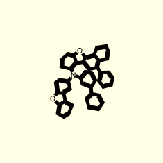 c1ccc(-c2cccc(N(c3ccc4oc5ccccc5c4c3)c3cccc4oc5c6ccccc6c(-c6ccccc6)cc5c34)c2)cc1